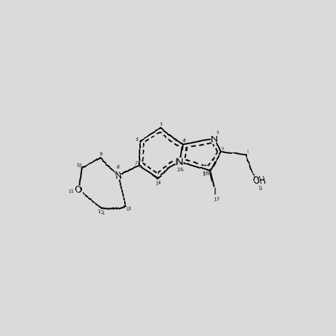 OCc1nc2ccc(N3CCOCC3)cn2c1I